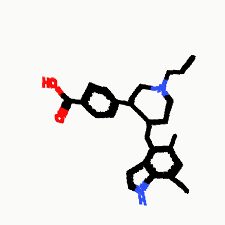 CCCN1CCC(Cc2c(C)cc(C)c3[nH]ccc23)C(c2ccc(C(=O)O)cc2)C1